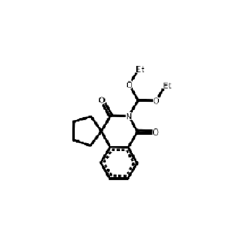 CCOC(OCC)N1C(=O)c2ccccc2C2(CCCC2)C1=O